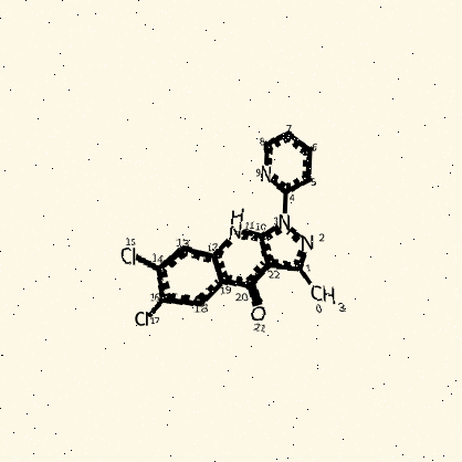 Cc1nn(-c2ccccn2)c2[nH]c3cc(Cl)c(Cl)cc3c(=O)c12